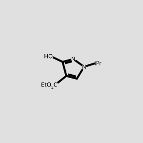 CCOC(=O)c1cn(C(C)C)nc1O